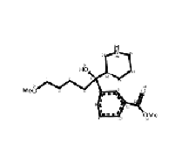 COCCCC[C@@](O)(c1cccc(C(=O)OC)c1)[C@@H]1CCCNC1